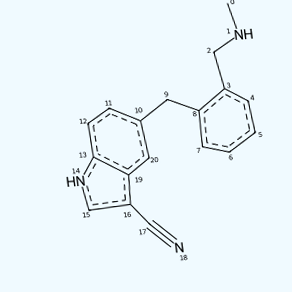 CNCc1ccccc1Cc1ccc2[nH]cc(C#N)c2c1